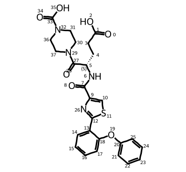 O=C(O)CC[C@H](NC(=O)c1csc(-c2ccccc2Oc2ccccc2)n1)C(=O)N1CCN(C(=O)O)CC1